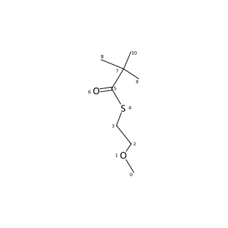 COCCSC(=O)C(C)(C)C